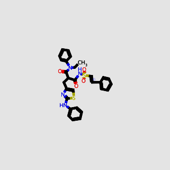 CCN(C(=O)C(Cc1csc(Nc2ccccc2)n1)C(=O)NS(=O)(=O)/C=C/c1ccccc1)c1ccccc1